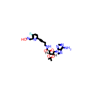 CC1(C)O[C@@H]2[C@@H](C(=O)NCCC#Cc3ccc(F)c(/C=N/O)n3)OC(n3cnc4c(N)ncnc43)[C@@H]2O1